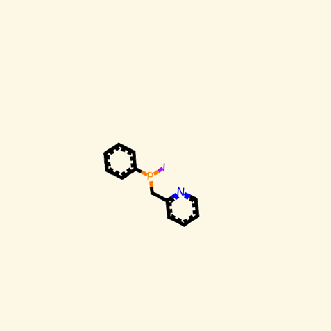 IP(Cc1ccccn1)c1ccccc1